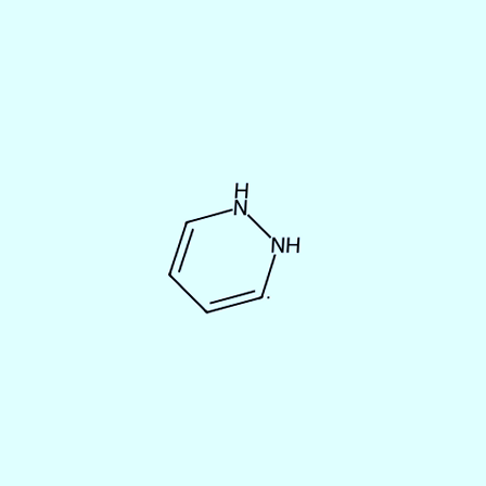 [C]1=CC=CNN1